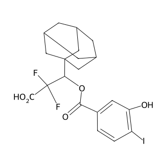 O=C(OC(C12CC3CC(CC(C3)C1)C2)C(F)(F)C(=O)O)c1ccc(I)c(O)c1